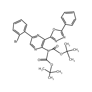 CC(C)(C)OC(=O)N(C(=O)OC(C)(C)C)c1ncc(-c2ccccc2Br)nc1-c1nnc(-c2ccccc2)o1